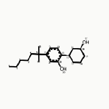 CCCCCC(C)(C)c1ccc([C@@H]2CCC[C@H](O)C2)c(O)c1